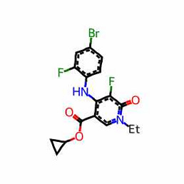 CCn1cc(C(=O)OC2CC2)c(Nc2ccc(Br)cc2F)c(F)c1=O